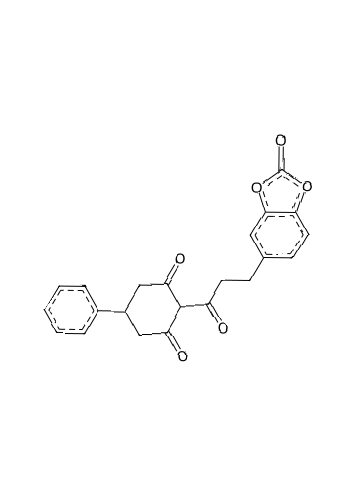 O=C(CCc1ccc2oc(=O)oc2c1)C1C(=O)CC(c2ccccc2)CC1=O